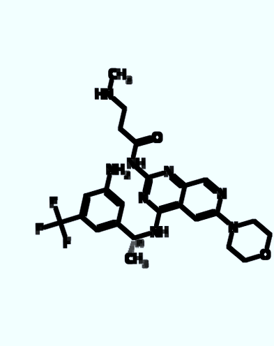 CNCCC(=O)Nc1nc(N[C@H](C)c2cc(N)cc(C(F)(F)F)c2)c2cc(N3CCOCC3)ncc2n1